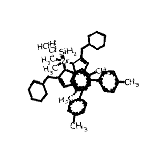 Cc1ccc(-c2cc(C)cc3c2C=C(CC2CCCCC2)[CH]3[Zr]([CH3])([CH3])(=[SiH2])[CH]2C(CC3CCCCC3)=Cc3c(-c4ccc(C)cc4)cc(C)cc32)cc1.Cl.Cl